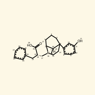 C[C@H]1C2CCCC1(c1cccc(O)c1)CCN2C[C@H](Cc1ccccc1)C(=O)O